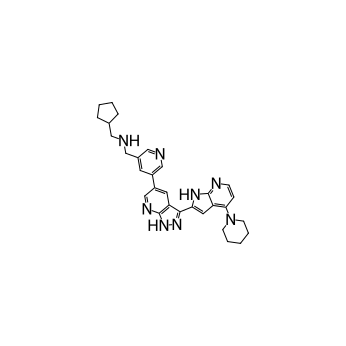 c1cc(N2CCCCC2)c2cc(-c3n[nH]c4ncc(-c5cncc(CNCC6CCCC6)c5)cc34)[nH]c2n1